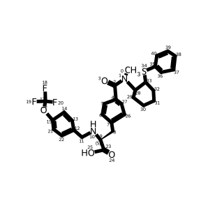 CN(C(=O)c1ccc(C[C@H](NCc2ccc(OC(F)(F)F)cc2)C(=O)O)cc1)C1CCCCC1Sc1ccccc1